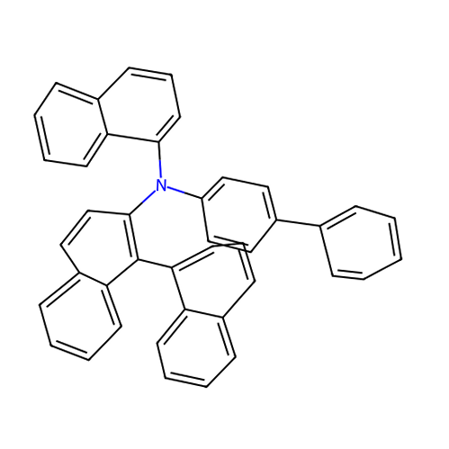 c1ccc(-c2ccc(N(c3ccc4ccccc4c3-c3cccc4ccccc34)c3cccc4ccccc34)cc2)cc1